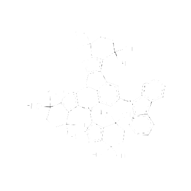 CC1(C)CCC(C)(C)c2c(N3c4cc(-n5c6ccccc6c6ccccc65)cc5c4B(c4oc6c(c4-5)C(C)(C)CCC6(C)C)c4oc5c(c43)C(C)(C)CCC5(C)C)coc21